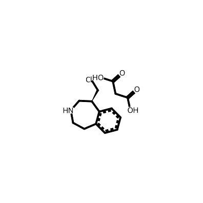 ClC[C@@H]1CNCCc2ccccc21.O=C(O)CC(=O)O